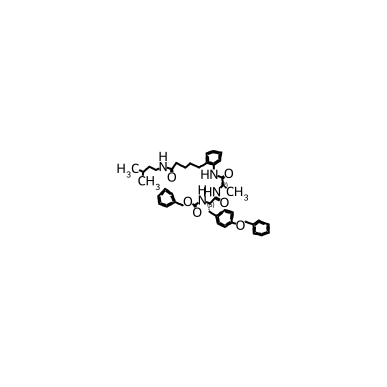 CC(C)CCNC(=O)CCCCc1ccccc1NC(=O)[C@@H](C)NC(=O)[C@H](Cc1ccc(OCc2ccccc2)cc1)NC(=O)OCc1ccccc1